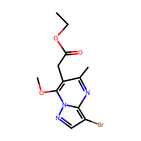 CCOC(=O)Cc1c(C)nc2c(Br)cnn2c1OC